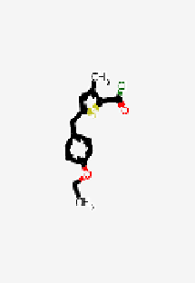 CCOc1ccc(Cc2cc(C)c(C(=O)Cl)s2)cc1